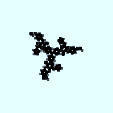 O=C(Cc1ccsc1)N[C@@H](Cc1ccc([N+](=O)[O-])cc1)C(=O)Nc1ccc(C(c2ccc(NC(=O)[C@H](Cc3ccc([N+](=O)[O-])cc3)NC(=O)Cc3ccsc3)cc2)c2ccc(NC(=O)[C@H](Cc3ccc([N+](=O)[O-])cc3)NC(=O)Cc3ccsc3)cc2)cc1